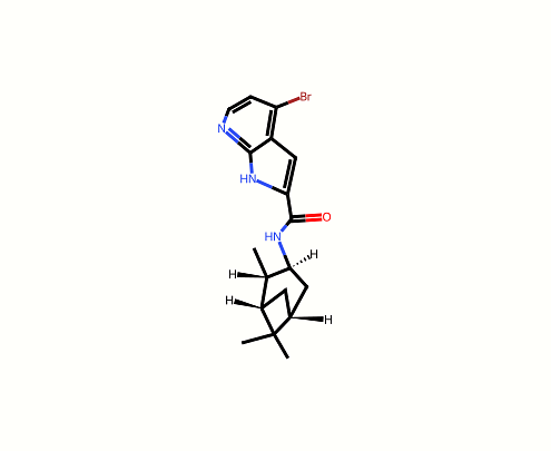 C[C@@H]1[C@@H](NC(=O)c2cc3c(Br)ccnc3[nH]2)C[C@H]2C[C@@H]1C2(C)C